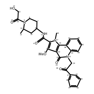 COc1c(C(=O)NC2CCN(C(=O)CO)C(C)C2)n(C)c2c1c(=O)n(CC(=O)c1ccccc1)c1ccccc21